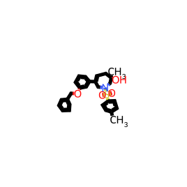 Cc1ccc(S(=O)(=O)N2CC(c3cccc(OCc4ccccc4)c3)=CCC(C)(O)C2)cc1